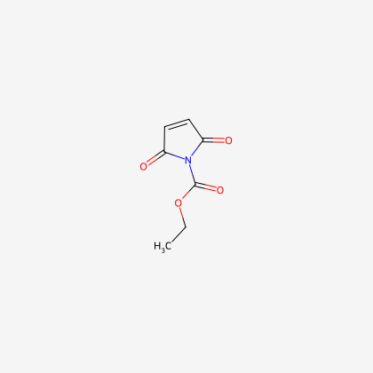 CCOC(=O)N1C(=O)C=CC1=O